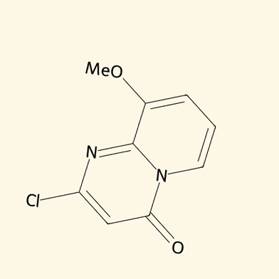 COc1cccn2c(=O)cc(Cl)nc12